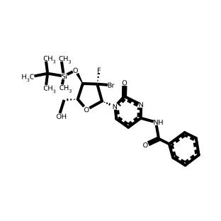 CC(C)(C)[Si](C)(C)O[C@@H]1[C@@H](CO)O[C@@H](n2ccc(NC(=O)c3ccccc3)nc2=O)[C@]1(F)Br